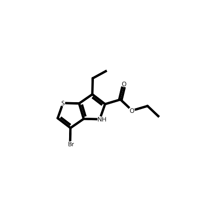 CCOC(=O)c1[nH]c2c(Br)csc2c1CC